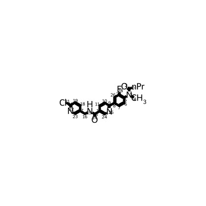 CCCC(=O)N(C)c1ccc(-c2ccc(C(=O)NCc3ccc(Cl)nc3)cn2)cc1F